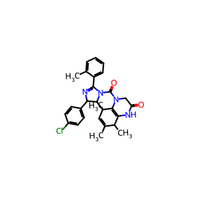 CC1=CC2(C)C3=C(NC(=O)CN3C(=O)N3C(c4ccccc4C)=NC(c4ccc(Cl)cc4)C32)C1C